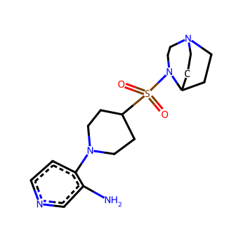 Nc1cnccc1N1CCC(S(=O)(=O)N2CCN3CCC2CC3)CC1